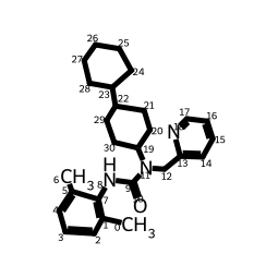 Cc1cccc(C)c1NC(=O)N(Cc1ccccn1)C1CCC(C2CCCCC2)CC1